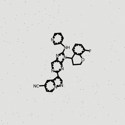 N#Cc1ccn2ncc(-c3ncc4nc(Nc5cccnc5)n(C5CCOc6c(F)cccc65)c4n3)c2c1